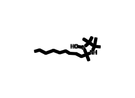 CCCCCCCCCC1(C)NC(C)(C)C(C)(C)N1O